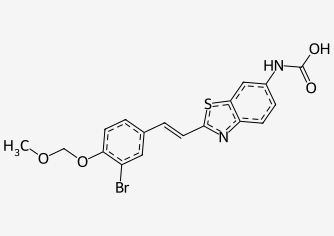 COCOc1ccc(C=Cc2nc3ccc(NC(=O)O)cc3s2)cc1Br